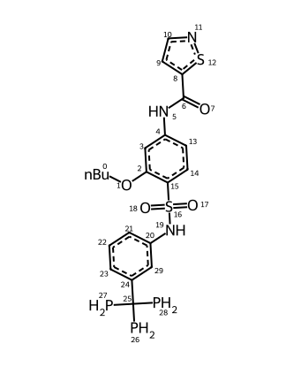 CCCCOc1cc(NC(=O)c2ccns2)ccc1S(=O)(=O)Nc1cccc(C(P)(P)P)c1